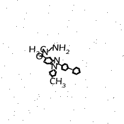 Cc1ccc(-n2c(-c3ccc(-c4ccccc4)cc3)nc3cc(C(=O)N(C)CCN)ccc32)cc1